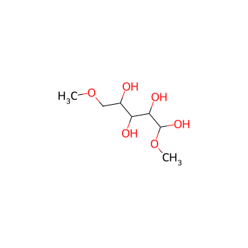 COCC(O)C(O)C(O)C(O)OC